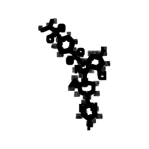 CC(C)S(=O)(=O)c1ccc(S(=O)(=O)n2nc(N3CCN(c4ncc(F)cn4)CC34CC4)c3c(Cl)cc(F)cc32)cc1